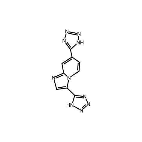 c1cn2c(-c3nnn[nH]3)cnc2cc1-c1nnn[nH]1